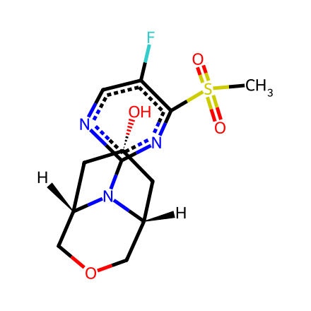 CS(=O)(=O)c1nc(N2[C@@H]3COC[C@H]2C[C@@H](O)C3)ncc1F